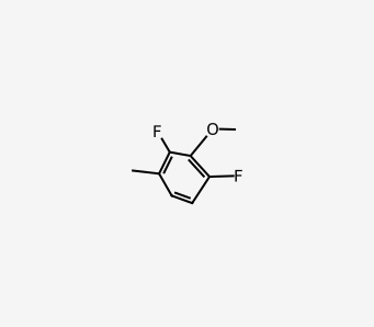 COc1c(F)ccc(C)c1F